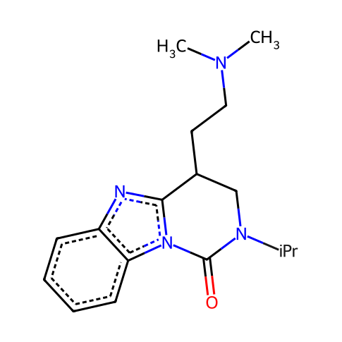 CC(C)N1CC(CCN(C)C)c2nc3ccccc3n2C1=O